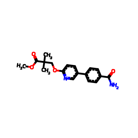 COC(=O)C(C)(C)COc1ccc(-c2ccc(C(N)=O)cc2)cn1